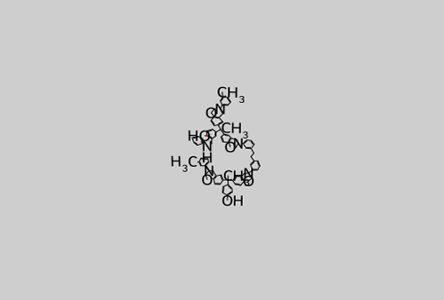 Cc1cccc(N2COc3ccc(C(C)(c4ccc(O)cc4)c4ccc5c(c4)CN(c4cccc(CCc6cccc(N7COc8ccc(C(C)(c9ccc(O)c(CNc%10ccccc%10)c9)c9ccc%10c(c9)CN(c9cccc(C)c9)CO%10)cc8C7)c6)c4)CO5)cc3C2)c1